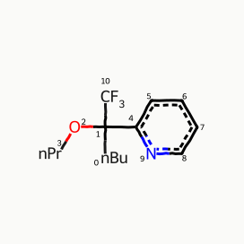 CCCCC(OCCC)(c1ccccn1)C(F)(F)F